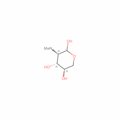 CN[C@H]1C(O)OC[C@@H](O)[C@@H]1O